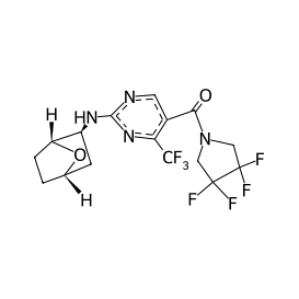 O=C(c1cnc(N[C@H]2C[C@@H]3CC[C@H]2O3)nc1C(F)(F)F)N1CC(F)(F)C(F)(F)C1